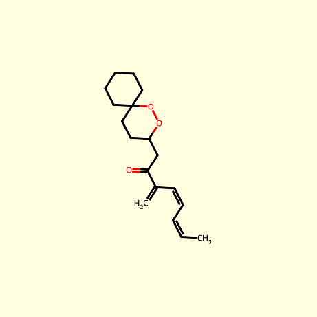 C=C(/C=C\C=C/C)C(=O)CC1CCC2(CCCCC2)OO1